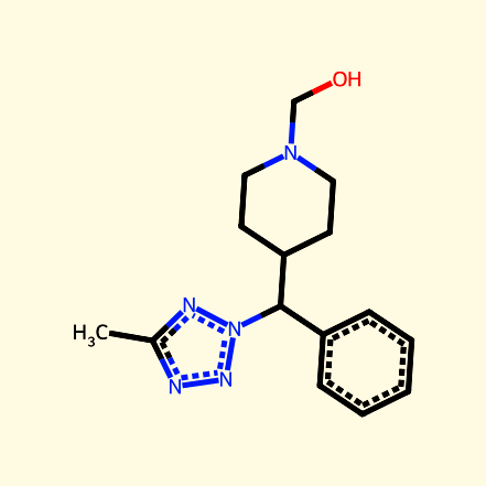 Cc1nnn(C(c2ccccc2)C2CCN(CO)CC2)n1